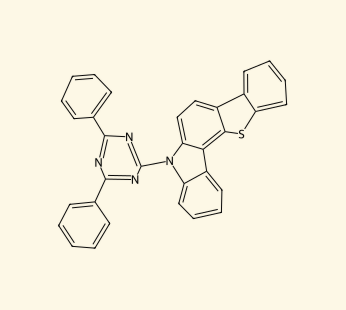 c1ccc(-c2nc(-c3ccccc3)nc(-n3c4ccccc4c4c5sc6ccccc6c5ccc43)n2)cc1